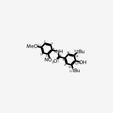 COc1ccc(NC(=O)c2cc(C(C)(C)C)c(O)c(C(C)(C)C)c2)c([N+](=O)[O-])c1